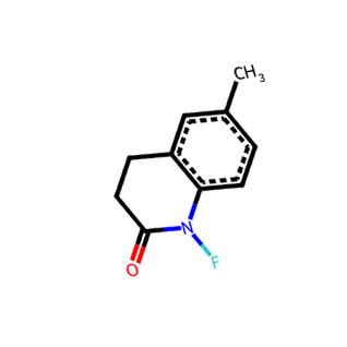 Cc1ccc2c(c1)CCC(=O)N2F